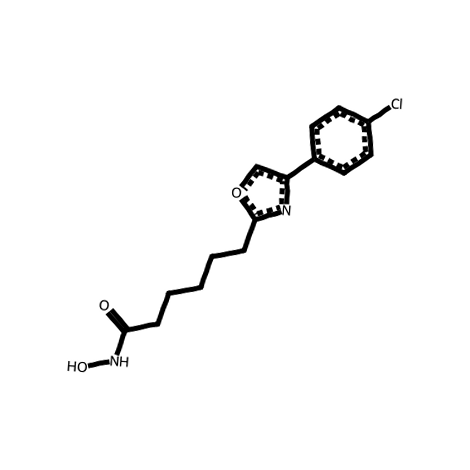 O=C(CCCCCc1nc(-c2ccc(Cl)cc2)co1)NO